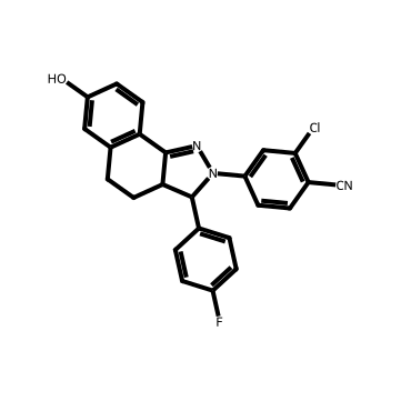 N#Cc1ccc(N2N=C3c4ccc(O)cc4CCC3C2c2ccc(F)cc2)cc1Cl